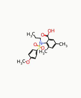 CCCN(c1c(C)cc(C)cc1C(=O)O)S(=O)(=O)c1ccc(OC)cc1